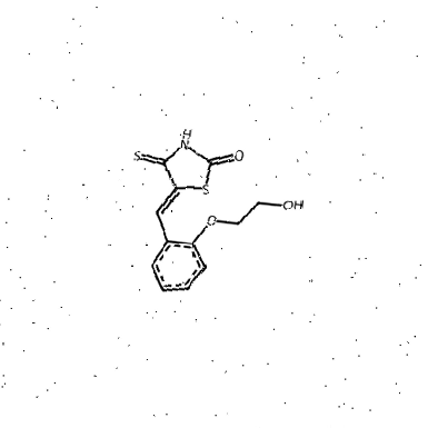 O=C1NC(=S)C(=Cc2ccccc2OCCO)S1